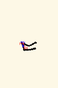 CCCCCCCCCCCCCCC(C)C(O)CN(CCCNC)CC(O)C(C)CCCCCCCCCCCCCC